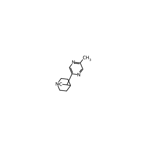 Cc1cnc(C2CN3CCC2CC3)cn1